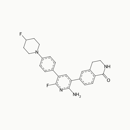 Nc1nc(F)c(-c2ccc(N3CCC(F)CC3)cc2)cc1-c1ccc2c(c1)CCNC2=O